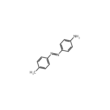 Cc1ccc(N=Nc2ccc(N)cc2)cc1